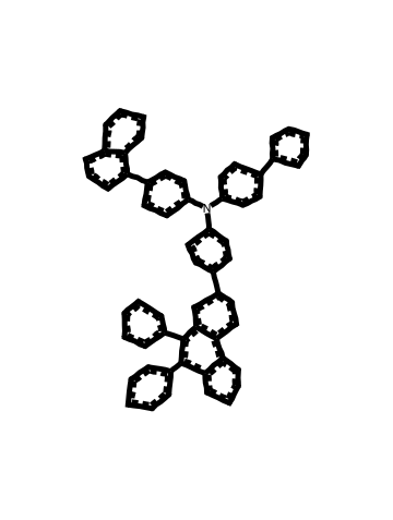 c1ccc(-c2ccc(N(c3ccc(-c4ccc5c(c4)c(-c4ccccc4)c(-c4ccccc4)c4ccccc45)cc3)c3ccc(-c4cccc5ccccc45)cc3)cc2)cc1